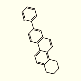 c1ccc(-c2ccc3c(ccc4c5c(ccc43)CCCC5)c2)nc1